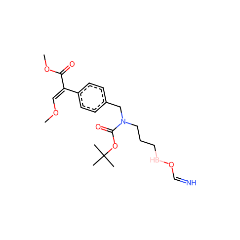 CO/C=C(/C(=O)OC)c1ccc(CN(CCCBOC=N)C(=O)OC(C)(C)C)cc1